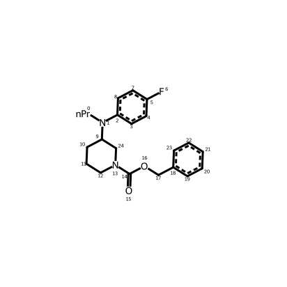 CCCN(c1ccc(F)cc1)C1CCCN(C(=O)OCc2ccccc2)C1